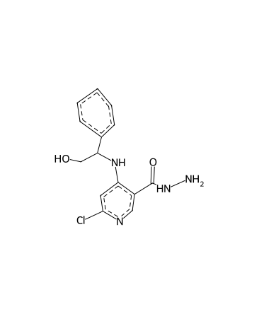 NNC(=O)c1cnc(Cl)cc1NC(CO)c1ccccc1